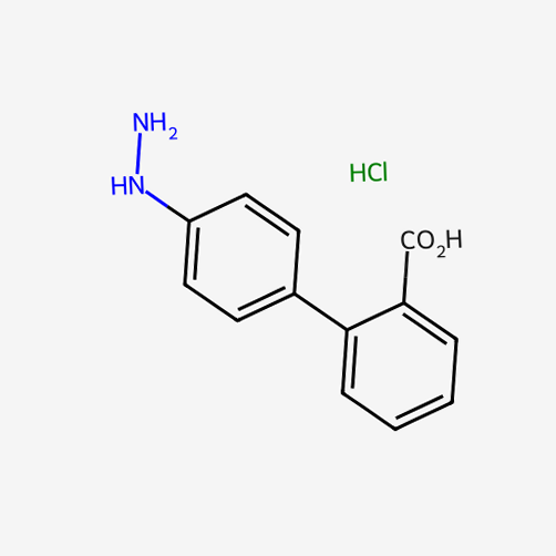 Cl.NNc1ccc(-c2ccccc2C(=O)O)cc1